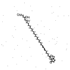 COCC(O)CNCCCCCCCCCCCCCCCCCCCCCCCCCC(=O)ON1C(=O)CCC1=O